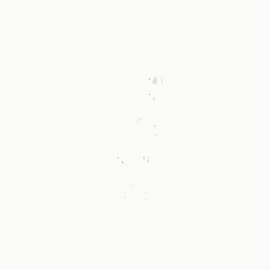 CCN=C(c1ccccc1OC)N1CCCc2cc(C3=NNC(=O)SC3(C)C)ccc21